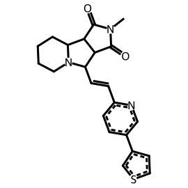 CN1C(=O)C2C(C1=O)C1CCCCN1C2/C=C/c1ccc(-c2ccsc2)cn1